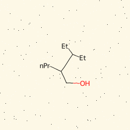 CCCC(CO)C(CC)CC